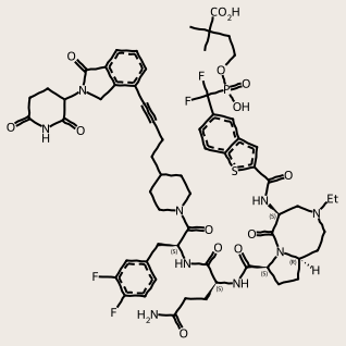 CCN1CC[C@H]2CC[C@@H](C(=O)N[C@@H](CCC(N)=O)C(=O)N[C@@H](Cc3ccc(F)c(F)c3)C(=O)N3CCC(CCC#Cc4cccc5c4CN(C4CCC(=O)NC4=O)C5=O)CC3)N2C(=O)[C@@H](NC(=O)c2cc3cc(C(F)(F)P(=O)(O)OCCC(C)(C)C(=O)O)ccc3s2)C1